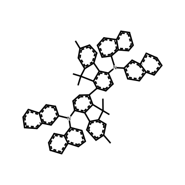 Cc1ccc2c(c1)C(C)(C)c1c(-c3ccc(N(c4ccc5ccccc5c4)c4cccc5ccccc45)c4c3C(C)(C)c3cc(C)ccc3-4)ccc(N(c3ccc4ccccc4c3)c3cccc4ccccc34)c1-2